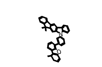 CC1CC=Cc2oc3c(-c4cccc(-n5c6ccccc6c6cc7c(cc65)C(C)(C)c5ccccc5-7)c4)cccc3c21